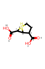 O=C(O)C1CC[SH]2C(C(=O)O)C12